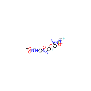 CC(C)(C)OC(=O)N1CCN(c2ccc(-n3cnc4ccc(Oc5c(F)ccc(N[S+]([O-])N6CCC(F)C6)c5C#N)cc4c3=O)cc2)CC1